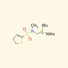 CN[C@H](CN(C)S(=O)(=O)C1=CCCS1)C(C)(C)C